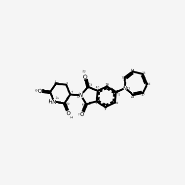 O=C1CCC(N2C(=O)c3ccc(N4C=CC=CC=C4)cc3C2=O)C(=O)N1